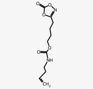 C=CCCNC(=O)OCCCCc1noc(=O)o1